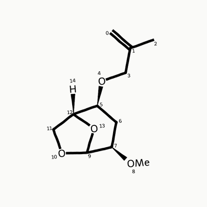 C=C(C)CO[C@H]1C[C@@H](OC)C2OC[C@H]1O2